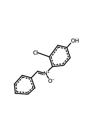 [O-][N+](=Cc1ccccc1)c1ccc(O)cc1Cl